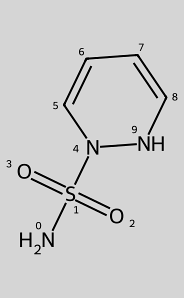 NS(=O)(=O)N1C=CC=CN1